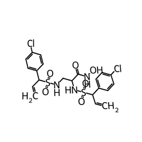 C=CC(c1ccc(Cl)cc1)S(=O)(=O)NCC(NS(=O)(=O)C(C=C)c1ccc(Cl)cc1)C(=O)NO